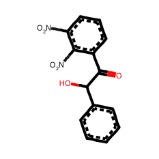 O=C(c1cccc([N+](=O)[O-])c1[N+](=O)[O-])C(O)c1ccccc1